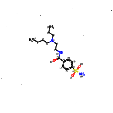 CCCCN(CCC)CCNC(=O)c1ccc(S(N)(=O)=O)cc1